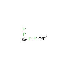 [Be+2].[F-].[F-].[F-].[F-].[Mg+2]